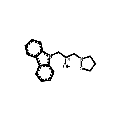 O[C@H](CN1CCCS1)Cn1c2ccccc2c2ccccc21